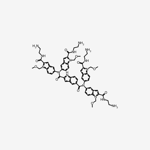 COCn1c(C(=O)NCCN)cc2cc(N(C(=O)c3ccc4[nH]c(C(=O)N(c5ccc6c(c5)cc(C(=O)NCCN)n6COC)c5ccc6c(c5)cc(C(=O)NCCN)n6COC)cc4c3)c3ccc4c(c3)cc(C(=O)NCCN)n4COC)ccc21